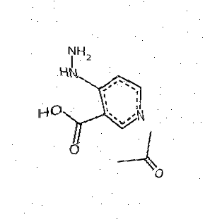 CC(C)=O.NNc1ccncc1C(=O)O